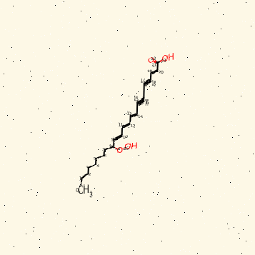 CCCCCCCCC(C=CC=CC=CC=CC=CC=CC(=O)O)OO